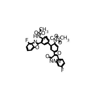 CNC(=O)c1c(-c2ccc(F)cc2)oc2cc(N(C)S(C)(=O)=O)c(-c3ccc(NS(C)(=O)=O)c(-c4nc5c(F)cccc5o4)c3)cc12